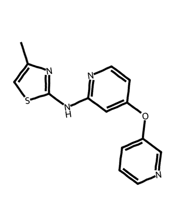 Cc1csc(Nc2cc(Oc3cccnc3)ccn2)n1